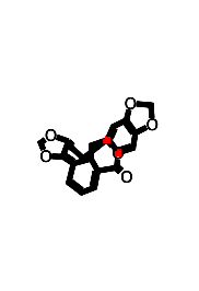 O=C1OCCC23C1=CC=CC2=C1OCOC1=CC3c1ccc2c(c1)OCO2